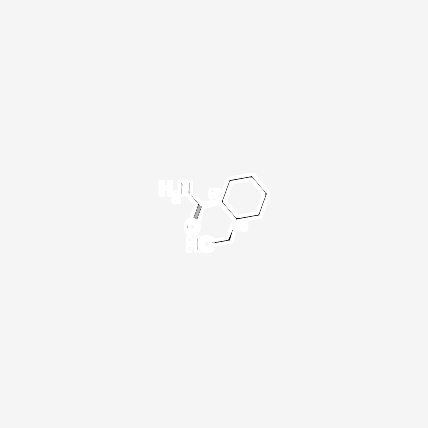 NC(=O)[C@@H]1CCCC[C@H]1CO